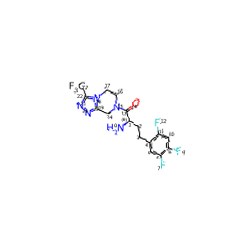 N[C@H](CCc1cc(F)c(F)cc1F)C(=O)N1CCn2c(nnc2C(F)(F)F)C1